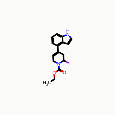 CCOC(=O)N1CC=C(c2cccc3[nH]ccc23)CC1I